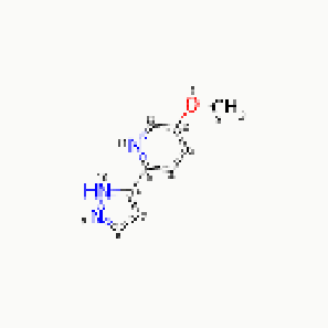 COc1ccc(-c2ccn[nH]2)nc1